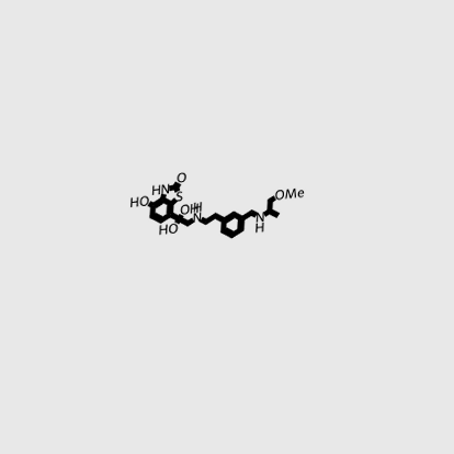 COCC(C)NCc1cccc(CCNCC(O)(O)c2ccc(O)c3[nH]c(=O)sc23)c1